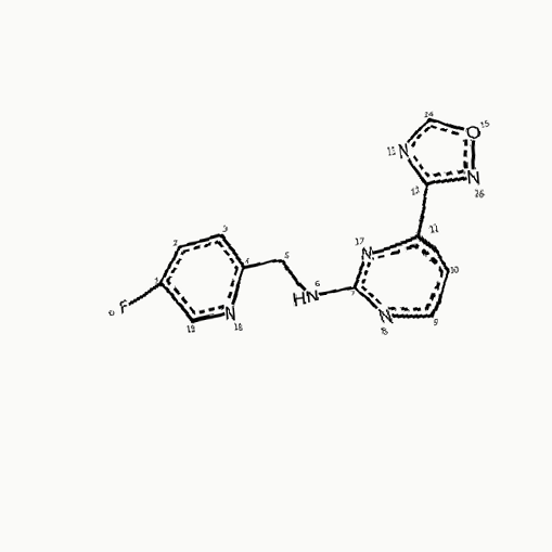 Fc1ccc(CNc2nccc(-c3ncon3)n2)nc1